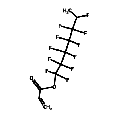 C=CC(=O)OC(F)(F)C(F)(F)C(F)(F)C(F)(F)C(F)(F)C(C)F